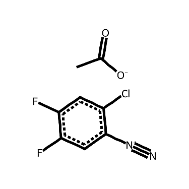 CC(=O)[O-].N#[N+]c1cc(F)c(F)cc1Cl